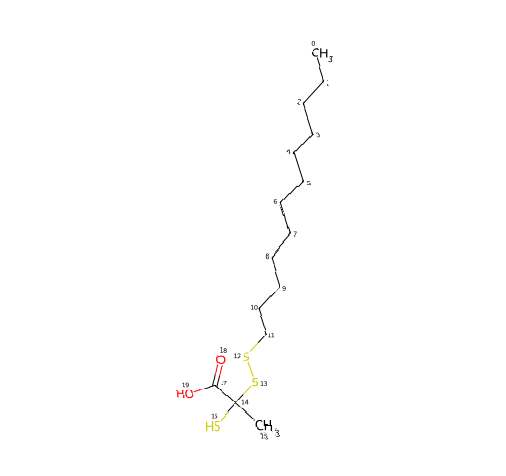 CCCCCCCCCCCCSSC(C)(S)C(=O)O